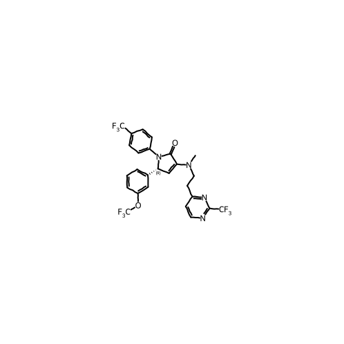 CN(CCc1ccnc(C(F)(F)F)n1)C1=C[C@H](c2cccc(OC(F)(F)F)c2)N(c2ccc(C(F)(F)F)cc2)C1=O